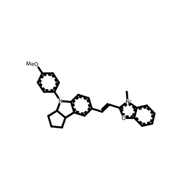 COc1ccc(N2c3ccc(/C=C/c4oc5ccccc5[n+]4C)cc3C3CCCC32)cc1